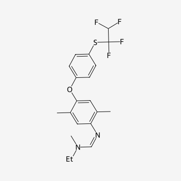 CCN(C)/C=N\c1cc(C)c(Oc2ccc(SC(F)(F)C(F)F)cc2)cc1C